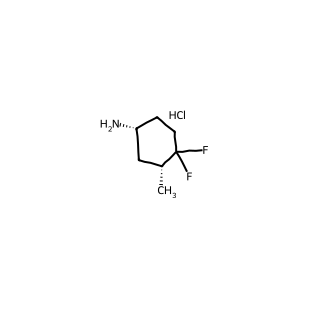 C[C@@H]1C[C@H](N)CCC1(F)F.Cl